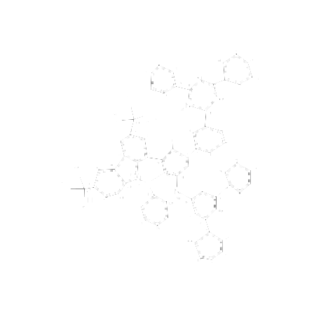 Cc1c(-c2cccc(-c3nc(-c4ccccc4)nc(-c4ccccc4)n3)c2)cc2c3c1-c1cc(C(C)(C)C)cc4c5cc(C(C)(C)C)ccc5n(c14)B3c1ccccc1N2c1cc(-c2ccccc2)cc(-c2ccccc2)c1